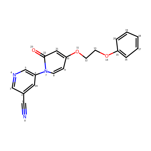 N#Cc1cncc(-n2ccc(OCCOc3ccccc3)cc2=O)c1